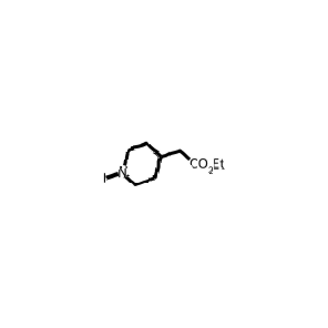 CCOC(=O)CC1CCN(I)CC1